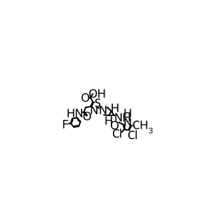 Cc1[nH]c(C(=O)N[C@H]2[C@@H]3CN(c4nc(CC(=O)Nc5cccc(F)c5)c(C(=O)O)s4)C[C@@H]32)c(Cl)c1Cl